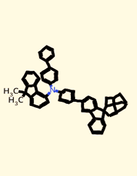 CC1(C)c2ccccc2-c2c(N(c3ccc(-c4ccccc4)cc3)c3ccc(-c4ccc5c(c4)-c4ccccc4C54C5CC6CC7CC4C7(C6)C5)cc3)cccc21